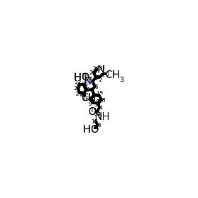 Cc1cc(/C(CC(c2ccc(CC(=O)NCCO)cc2)c2ccccc2C)=N\O)ccn1